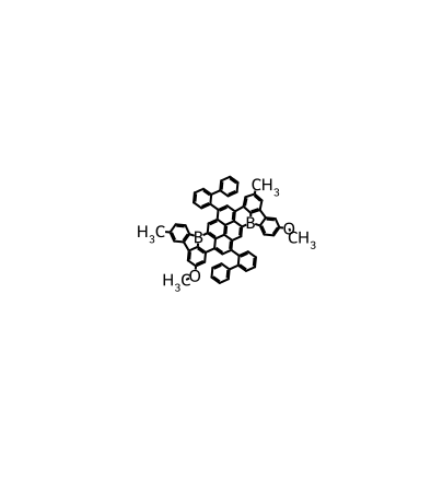 COc1ccc2c(c1)-c1cc(C)cc3c1B2c1cc2c(-c4ccccc4-c4ccccc4)cc4c5c(cc6c(-c7ccccc7-c7ccccc7)cc-3c1c6c25)B1c2ccc(C)cc2-c2cc(OC)cc-4c21